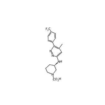 Cc1cc(N[C@@H]2CCCN(C(=O)O)C2)nnc1-c1ccc(C(F)(F)F)cc1